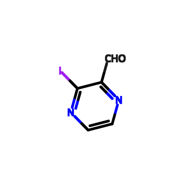 O=Cc1nccnc1I